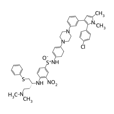 Cc1cc(-c2cccc(N3CCN(C4=CC=C(N[S+]([O-])c5ccc(N[C@H](CCN(C)C)CSc6ccccc6)c([N+](=O)[O-])c5)CC4)CC3)c2)c(-c2ccc(Cl)cc2)n1C